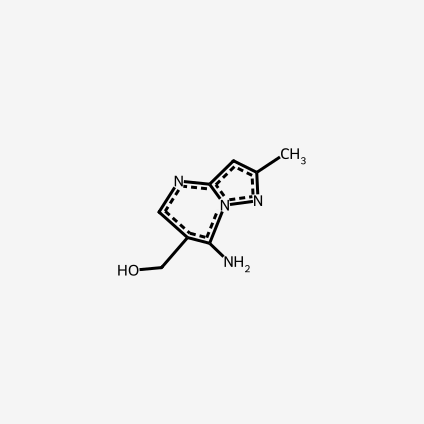 Cc1cc2ncc(CO)c(N)n2n1